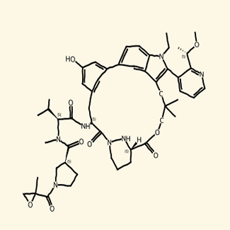 CCn1c(-c2cccnc2[C@H](C)OC)c2c3cc(ccc31)-c1cc(O)cc(c1)C[C@H](NC(=O)[C@H](C(C)C)N(C)C(=O)[C@H]1CCN(C(=O)C3(C)CO3)C1)C(=O)N1CCC[C@H](N1)C(=O)OCC(C)(C)C2